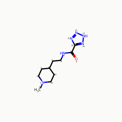 CN1CCC(CCNC(=O)c2nn[nH]n2)CC1